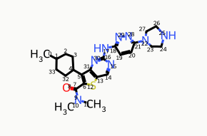 CC1CCC(c2c(C(=O)N(C)C)sc3cnc(Nc4ccc(N5CCNCC5)nn4)nc23)CC1